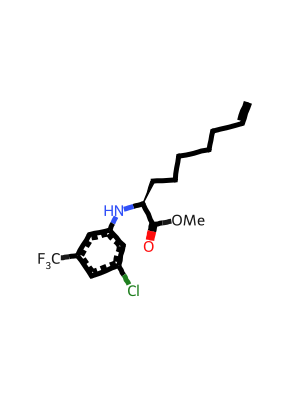 C=CCCCCC[C@H](Nc1cc(Cl)cc(C(F)(F)F)c1)C(=O)OC